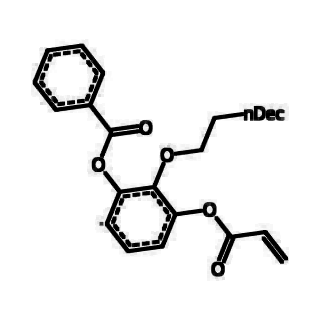 C=CC(=O)Oc1cc[c]c(OC(=O)c2ccccc2)c1OCCCCCCCCCCCC